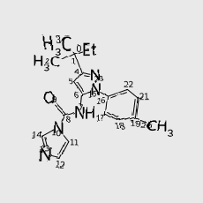 CCC(C)(C)c1cc(NC(=O)n2ccnc2)n(-c2ccc(C)cc2)n1